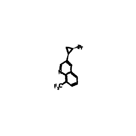 CC(C)[C@H]1C[C@@H]1c1cnc2c(C(F)(F)F)cccc2c1